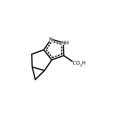 O=C(O)c1[nH]nc2c1C1CC1C2